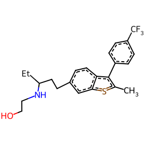 CCC(CCc1ccc2c(-c3ccc(C(F)(F)F)cc3)c(C)sc2c1)NCCO